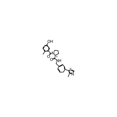 Cc1ccc(O)cc1C(=O)N1CCC[C@H]1C(=O)NCC1=CC=C(c2scnc2C)CC=C1